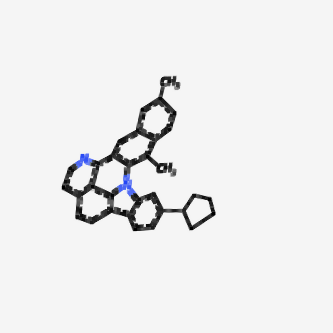 Cc1ccc2c(C)c3c(cc2c1)c1nccc2ccc4c5ccc(C6CCCC6)cc5n3c4c21